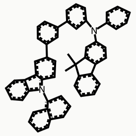 CC1(C)c2ccccc2-c2ccc(N(c3ccccc3)c3cccc(-c4cccc(-c5ccc6c(c5)c5ccccc5n6-c5cccc6ccccc56)c4)c3)cc21